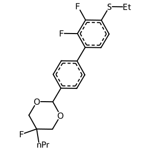 CCCC1(F)COC(c2ccc(-c3ccc(SCC)c(F)c3F)cc2)OC1